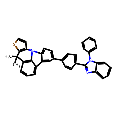 CC1(C)c2sccc2-n2c3ccc(-c4ccc(-c5nc6ccccc6n5-c5ccccc5)cc4)cc3c3cccc1c32